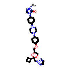 CCC(C)n1ncn(-c2ccc(N3CCN(c4ccc(OCC5COC(Cn6nccn6)(C6CCC6)O5)cc4)CC3)cc2)c1=O